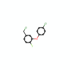 Fc1ccc(CCl)cc1Oc1ccc(Cl)cc1